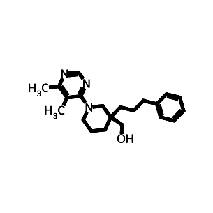 Cc1ncnc(N2CCCC(CO)(CCCc3ccccc3)C2)c1C